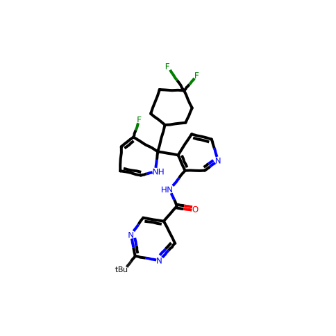 CC(C)(C)c1ncc(C(=O)Nc2cnccc2C2(C3CCC(F)(F)CC3)NC=CC=C2F)cn1